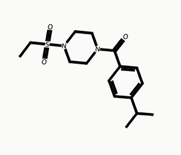 CCS(=O)(=O)N1CCN(C(=O)c2ccc(C(C)C)cc2)CC1